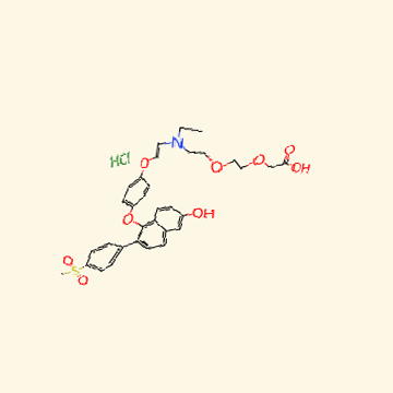 CCN(CCOCCOCC(=O)O)CCOc1ccc(Oc2c(-c3ccc(S(C)(=O)=O)cc3)ccc3cc(O)ccc23)cc1.Cl